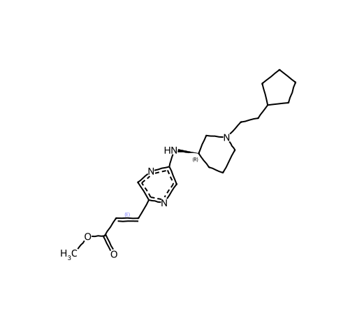 COC(=O)/C=C/c1cnc(N[C@@H]2CCCN(CCC3CCCC3)C2)cn1